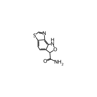 NC(=O)C1ONc2c1ccc1scnc21